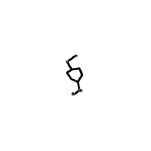 CC(C)NC1CCC(OC(C)C)CC1